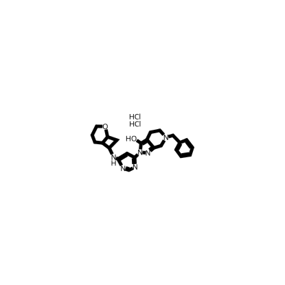 Cl.Cl.Oc1c2c(nn1-c1cc(NC3CC4OCCCC34)ncn1)CN(Cc1ccccc1)CC2